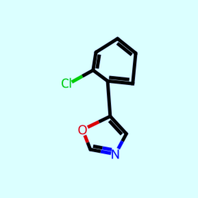 Clc1ccccc1-c1cnco1